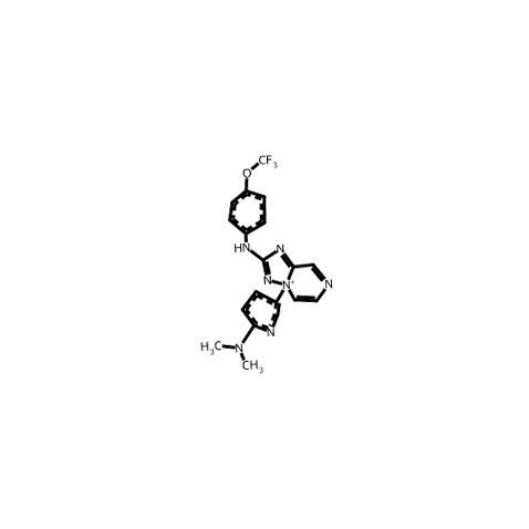 CN(C)c1ccc([N+]23C=CN=CC2=NC(Nc2ccc(OC(F)(F)F)cc2)=N3)cn1